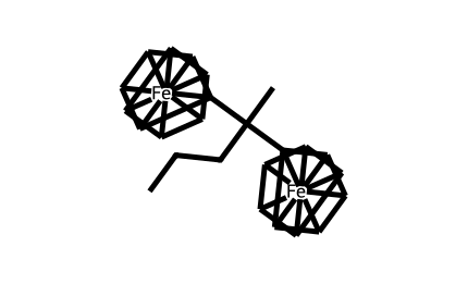 CCCC(C)([C]12[CH]3[CH]4[CH]5[CH]1[Fe]45321678[CH]2[CH]1[CH]6[CH]7[CH]28)[C]12[CH]3[CH]4[CH]5[CH]1[Fe]45321678[CH]2[CH]1[CH]6[CH]7[CH]28